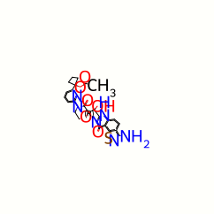 CC(=O)OC1(c2cccc(N3CCO[C@H](C(O)c4nc(=O)c5c(ccc6c(N)nsc65)[nH]4)C3=O)n2)CCC1